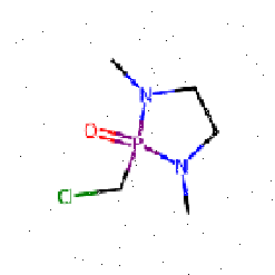 CN1CCN(C)P1(=O)CCl